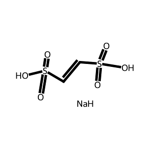 O=S(=O)(O)C=CS(=O)(=O)O.[NaH]